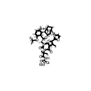 Cc1c(-c2ncco2)sc2c1c(=O)n(C(C)(C)C(=O)NS(=O)(=O)C(C)(C)C)c(=O)n2C[C@H](OC1C[C@H]2CC[C@@H](C1)O2)c1cc(F)ccc1OC(F)F